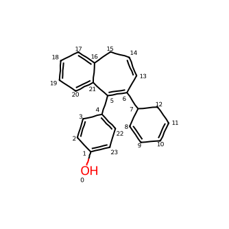 Oc1ccc(C2=C(C3C=CC=CC3)C=CCc3ccccc32)cc1